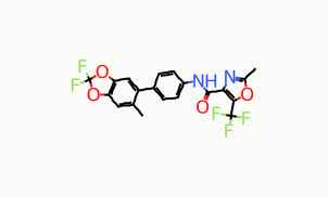 Cc1nc(C(=O)Nc2ccc(-c3cc4c(cc3C)OC(F)(F)O4)cc2)c(C(F)(F)F)o1